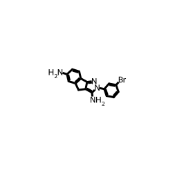 Nc1ccc2c(c1)Cc1c-2nn(-c2cccc(Br)c2)c1N